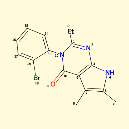 CCc1nc2[nH]c(C)c(C)c2c(=O)n1-c1ccccc1Br